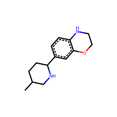 CC1CCC(c2ccc3c(c2)OCCN3)NC1